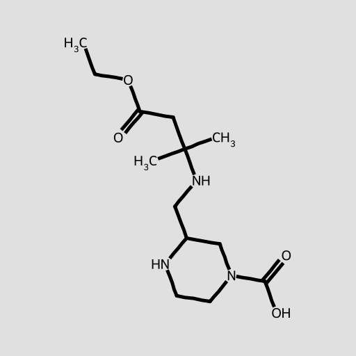 CCOC(=O)CC(C)(C)NCC1CN(C(=O)O)CCN1